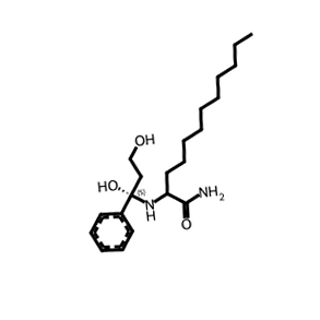 CCCCCCCCCCC(N[C@](O)(CCO)c1ccccc1)C(N)=O